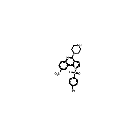 CC(C)c1ccc(S(=O)(=O)n2ccc3c(N4CCNCC4)nc4ccc([N+](=O)[O-])cc4c32)cc1